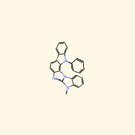 Cn1c2ccccc2n2c3c(ccc4c5ccccc5n(-c5ccccc5)c43)nc12